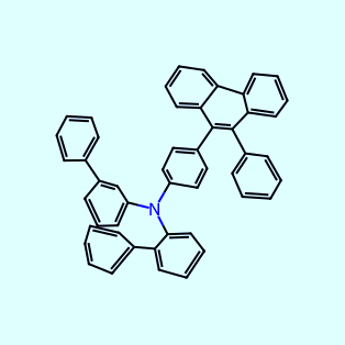 c1ccc(-c2cccc(N(c3ccc(-c4c(-c5ccccc5)c5ccccc5c5ccccc45)cc3)c3ccccc3-c3ccccc3)c2)cc1